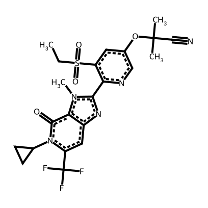 CCS(=O)(=O)c1cc(OC(C)(C)C#N)cnc1-c1nc2cc(C(F)(F)F)n(C3CC3)c(=O)c2n1C